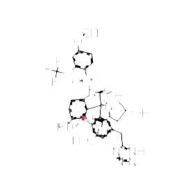 CNC(=O)[C@@H]1C[C@@H](O)C[N+]1(C)C1(c2cc(Cc3nnn[nH]3)ccc2OC)C(=O)N(S(=O)(=O)c2ccc(OC)cc2OC(F)(F)F)c2ccc(Cl)cc21